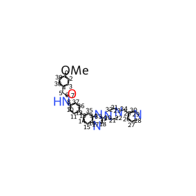 COc1ccc(CC(=O)Nc2ccc(-c3ccc4ncc(N5CCN(Cc6cccnc6)CC5)nc4c3)cc2)cc1